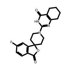 O=C1OC2(CCN(c3nc4c(c(=O)[nH]3)CCCC4)CC2)c2cc(F)ccc21